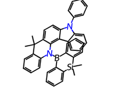 CC1(C)c2ccccc2N(B2c3ccccc3[Si](C)(C)c3ccccc32)c2c1ccc1c2c2ccccc2n1-c1ccccc1